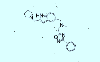 CN(Cc1ccc2[nH]c(CN3CCCC3)cc2c1)Cc1nc(-c2ccccc2)no1